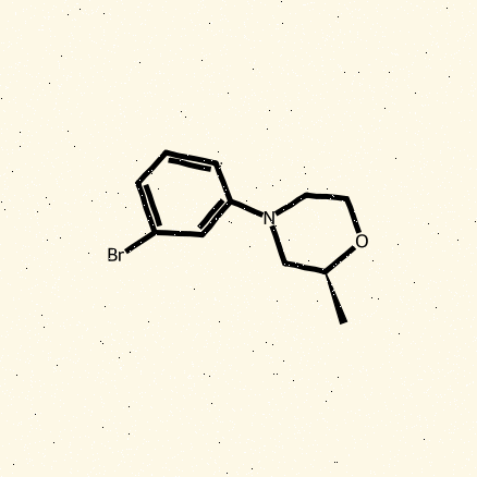 C[C@H]1CN(c2[c]ccc(Br)c2)CCO1